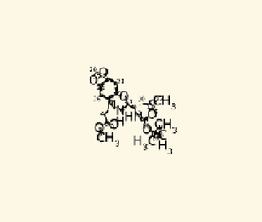 COC(=O)CN(NC(=O)[C@H](CSC)NC(=O)OC(C)(C)C)c1ccc2c(c1)OCO2